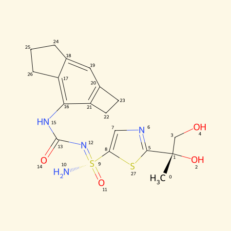 C[C@](O)(CO)c1ncc([S@@](N)(=O)=NC(=O)Nc2c3c(cc4c2CC4)CCC3)s1